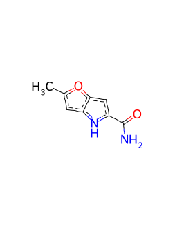 Cc1cc2[nH]c(C(N)=O)cc2o1